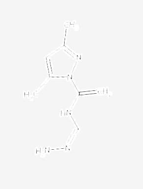 C=C(N/C=N\N)n1nc(C)cc1C